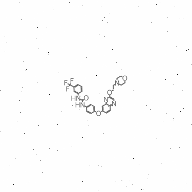 O=C(Nc1ccc(Oc2ccc3ncc(OCCN4CCOCC4)nc3c2)cc1)Nc1cccc(C(F)(F)F)c1